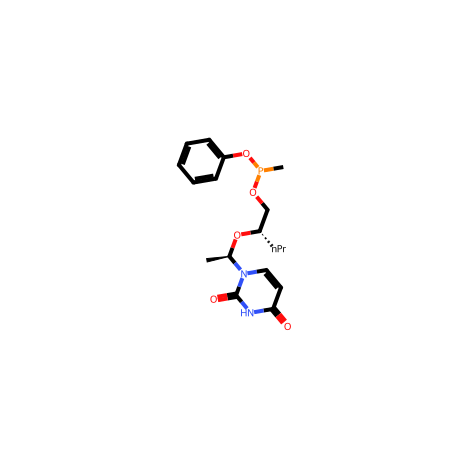 CCC[C@@H](COP(C)Oc1ccccc1)O[C@H](C)n1ccc(=O)[nH]c1=O